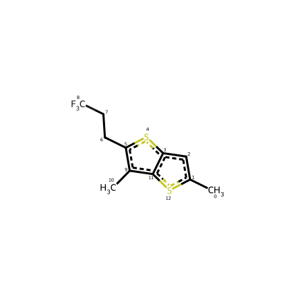 Cc1cc2sc(CCC(F)(F)F)c(C)c2s1